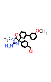 COc1cccc(-c2cccc(C3(c4ccc(CO)cc4)N=C(N)N(C)C3=O)c2)c1